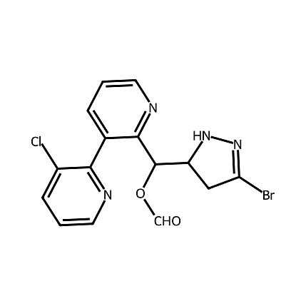 O=COC(c1ncccc1-c1ncccc1Cl)C1CC(Br)=NN1